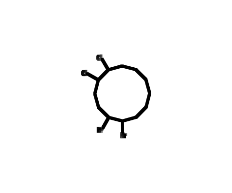 ClC1CCCCCCC(Br)C(Br)CCC1Cl